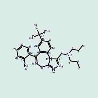 CCCN(CCC)Cc1nnc2n1-c1ccc(C(F)(F)F)cc1C(c1ccccc1Br)=NC2